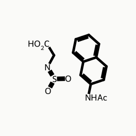 CC(=O)Nc1ccc2ccccc2c1.O=C(O)CN=S(=O)=O